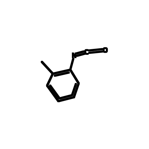 CC1=C(N=C=O)C=C=C=C1